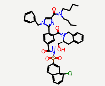 CCCCN(CCCC)C(=O)c1cn(Cc2ccccc2)c(-c2ccc(C(=O)NS(=O)(=O)c3ccc4cccc(Cl)c4c3)cc2C(=O)N2Cc3ccccc3C[C@H]2CO)n1